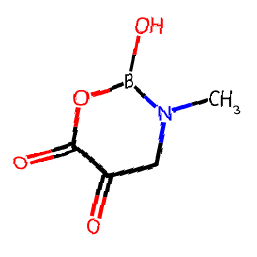 CN1CC(=O)C(=O)OB1O